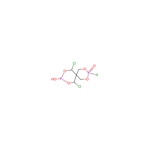 O=P1(F)OCC2(CO1)C(Cl)OP(O)OC2Cl